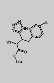 CCC[C@H](C(=O)OC(C)(C)C)C(Cc1ccc(Br)cc1)c1nnn[nH]1